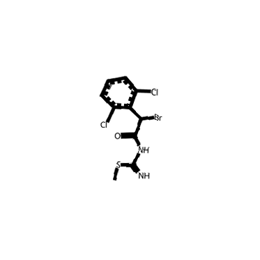 CSC(=N)NC(=O)C(Br)c1c(Cl)cccc1Cl